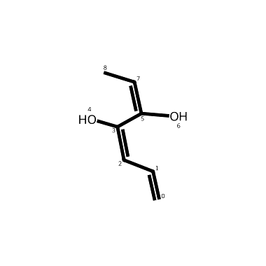 C=C/C=C(O)\C(O)=C/C